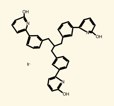 Oc1cccc(-c2cccc(CC(Cc3cccc(-c4cccc(O)n4)c3)Cc3cccc(-c4cccc(O)n4)c3)c2)n1.[Ir]